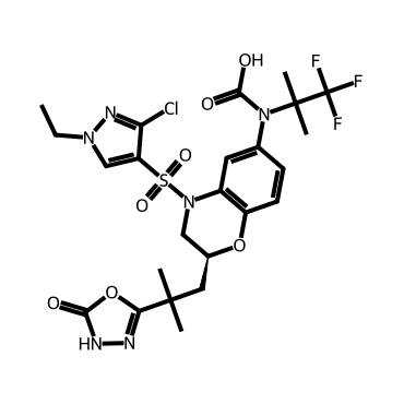 CCn1cc(S(=O)(=O)N2C[C@H](CC(C)(C)c3n[nH]c(=O)o3)Oc3ccc(N(C(=O)O)C(C)(C)C(F)(F)F)cc32)c(Cl)n1